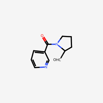 O=CC1CCCN1C(=O)c1cccnc1